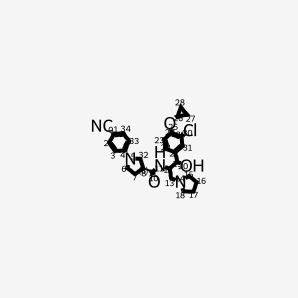 N#Cc1ccc(N2CC[C@H](C(=O)NC(CN3CCCC3)C(O)c3ccc(OC4CC4)c(Cl)c3)C2)cc1